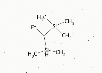 CCC([SiH](C)C)[Si](C)(C)C